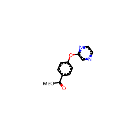 COC(=O)c1ccc(Oc2cnccn2)cc1